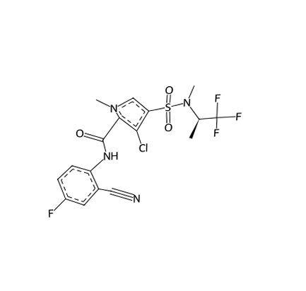 C[C@@H](N(C)S(=O)(=O)c1cn(C)c(C(=O)Nc2ccc(F)cc2C#N)c1Cl)C(F)(F)F